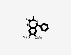 COc1cc2c(cc1OC)C(c1ccccc1)=NC(C)C(=O)N2